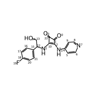 O=c1c(Nc2ccncc2)c(NC(CO)c2ccc(F)cc2)c1=O